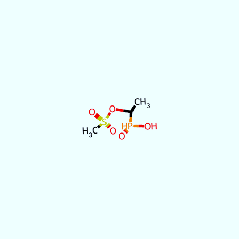 CC(OS(C)(=O)=O)[PH](=O)O